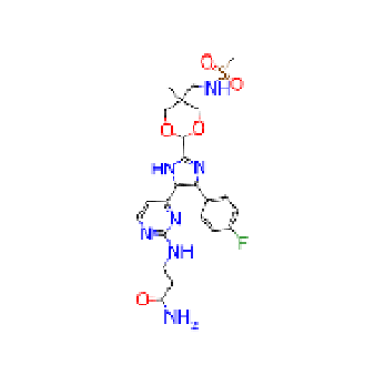 CC1(CNS(C)(=O)=O)COC(c2nc(-c3ccc(F)cc3)c(-c3ccnc(NCCC(N)=O)n3)[nH]2)OC1